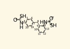 O=C(S)Nc1ccc(Cc2ccccc2NC(=O)S)cc1